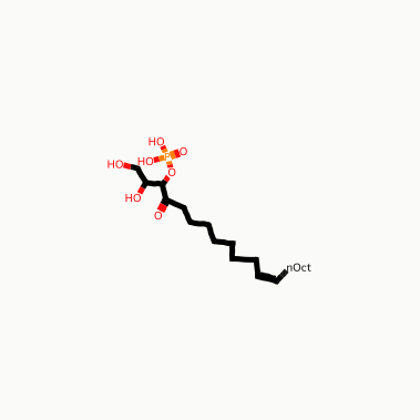 CCCCCCCC/C=C\CCCCCCCC(=O)C(OP(=O)(O)O)C(O)CO